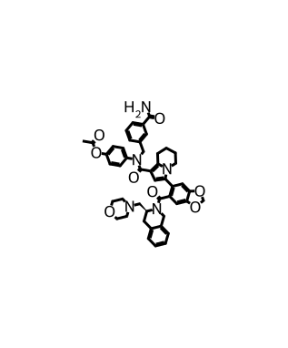 CC(=O)Oc1ccc(N(Cc2cccc(C(N)=O)c2)C(=O)c2cc(-c3cc4c(cc3C(=O)N3Cc5ccccc5C[C@H]3CN3CCOCC3)OCO4)n3c2CCCC3)cc1